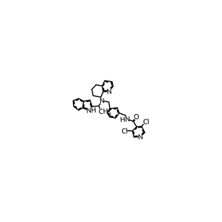 CC(c1cc2ccccc2[nH]1)N(Cc1cccc(CNC(=O)c2c(Cl)cncc2Cl)c1)C1CCCc2cccnc21